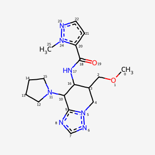 COCC1Cn2ncnc2C(N2CCCC2)C1NC(=O)c1ccnn1C